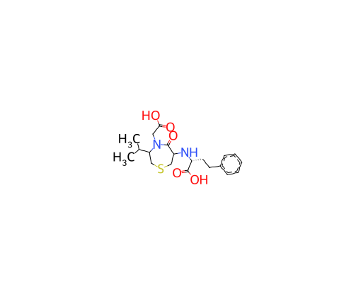 CC(C)C1CSCC(N[C@H](CCc2ccccc2)C(=O)O)C(=O)N1CC(=O)O